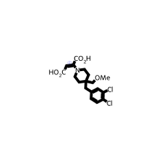 COCC1(Cc2ccc(Cl)c(Cl)c2)CCN(/C(=C\C(=O)O)C(=O)O)CC1